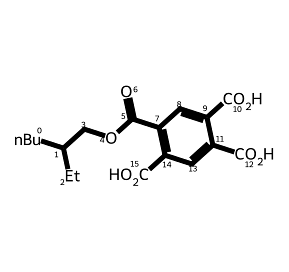 CCCCC(CC)COC(=O)c1cc(C(=O)O)c(C(=O)O)cc1C(=O)O